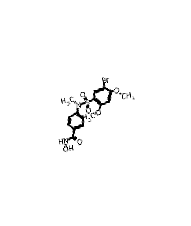 COc1cc(OC)c(S(=O)(=O)N(C)c2ccc(C(=O)NO)cc2)cc1Br